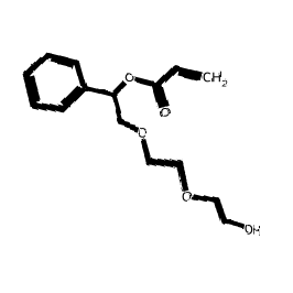 C=CC(=O)OC(COCCOCCO)c1ccccc1